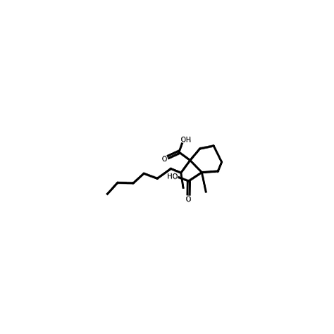 CCCCCCC(C)C1(C(=O)O)CCCCC1(C)C(=O)O